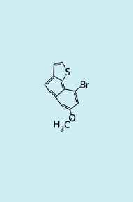 COc1cc(Br)c2c(ccc3ccsc32)c1